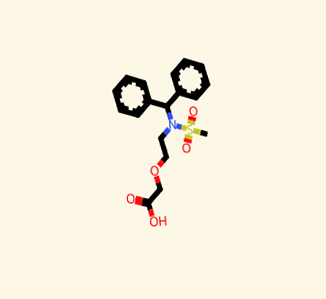 CS(=O)(=O)N(CCOCC(=O)O)C(c1ccccc1)c1ccccc1